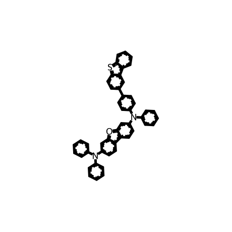 c1ccc(N(c2ccccc2)c2ccc3c(c2)oc2cc(N(c4ccccc4)c4ccc(-c5ccc6sc7ccccc7c6c5)cc4)ccc23)cc1